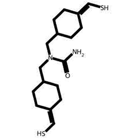 NC(=O)N(CC1CCC(=CS)CC1)CC1CCC(=CS)CC1